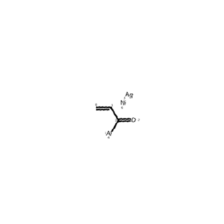 C=C[C](=O)[Al].[Ag].[Ni]